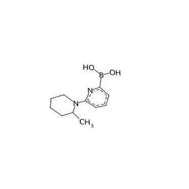 CC1CCCCN1c1cccc(B(O)O)n1